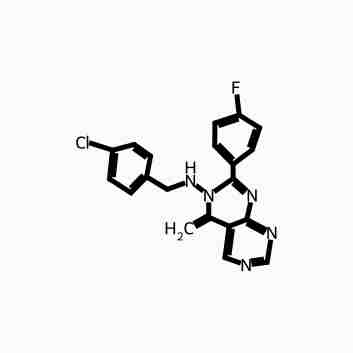 C=C1c2cncnc2N=C(c2ccc(F)cc2)N1NCc1ccc(Cl)cc1